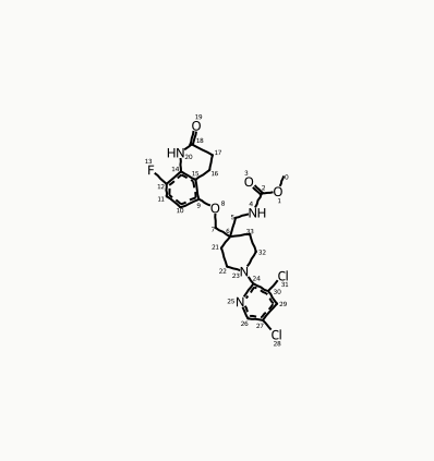 COC(=O)NCC1(COc2ccc(F)c3c2CCC(=O)N3)CCN(c2ncc(Cl)cc2Cl)CC1